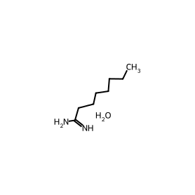 CCCCCCCC(=N)N.O